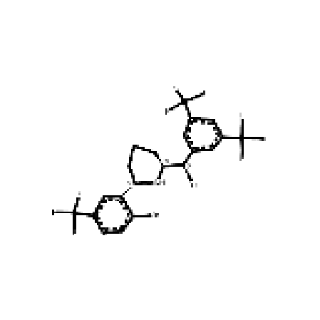 O[C@H](c1cc(C(F)(F)F)cc(C(F)(F)F)c1)[C@@H]1CCC[C@@H](c2cc(C(F)(F)F)ccc2Br)N1